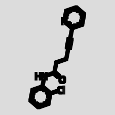 O=C(CCC#Cc1ccccn1)Nc1ccccc1Cl